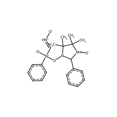 CC1(C)N(O[N+]([O])(C=[NH+][O-])c2ccccc2)C(c2ccccc2)[NH+]([O-])C1(C)C